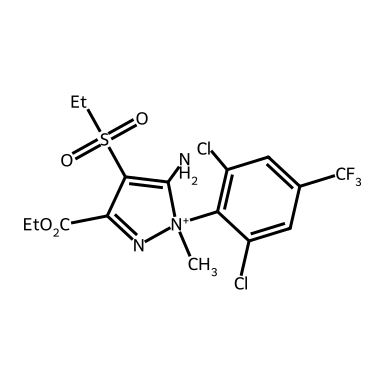 CCOC(=O)C1=N[N+](C)(c2c(Cl)cc(C(F)(F)F)cc2Cl)C(N)=C1S(=O)(=O)CC